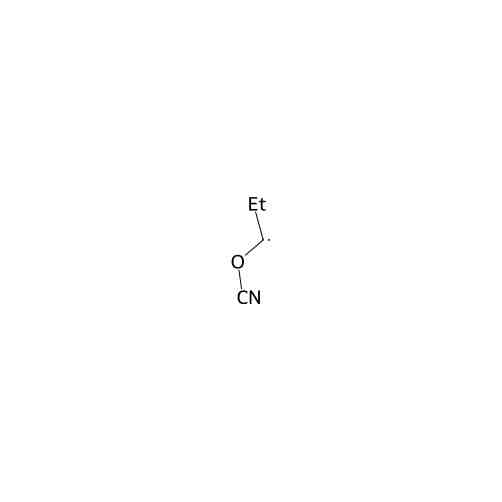 CC[CH]OC#N